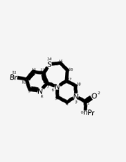 CCCC(=O)N1CCN2c3ncc(Br)cc3SCCC2C1